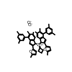 Cc1cc(C)cc(-c2c(C)c(C)cc3c2C=C(c2ccc(C)o2)[CH]3[Zr+2](=[C]2CCC2)[CH]2C(c3ccc(C)o3)=Cc3c2cc(C)c(C)c3-c2cc(C)cc(C)c2)c1.[Cl-].[Cl-]